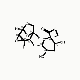 O=C1OC[C@]12O[C@@H](O[C@H]1[C@@H]3O[C@@H]3[C@@H]3OC[C@H]1O3)[C@H](O)C[C@@H]2O